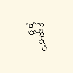 Fc1cc(OCCN2CCCC2)cc(-c2nccc3[nH]c(-c4n[nH]c5ccc(-c6cncc(CN7CCCCC7)c6)cc45)nc23)c1